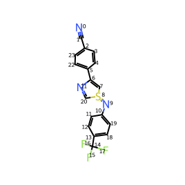 N#Cc1ccc(C2=CS(=Nc3ccc(C(F)(F)F)cc3)C=N2)cc1